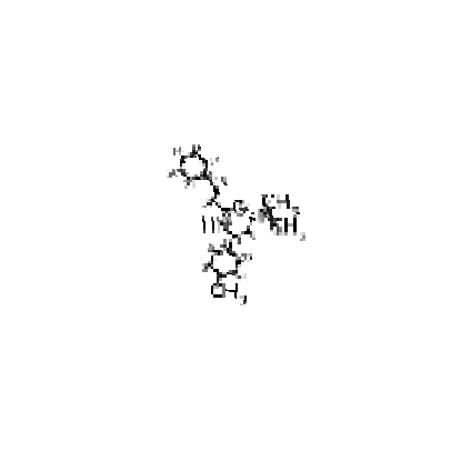 Cc1ccc(C(CCN(C)C)NC(=O)C=Cc2ccccc2)cc1